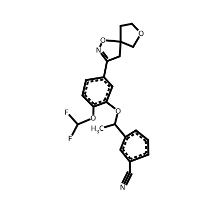 CC(Oc1cc(C2=NOC3(CCOC3)C2)ccc1OC(F)F)c1cccc(C#N)c1